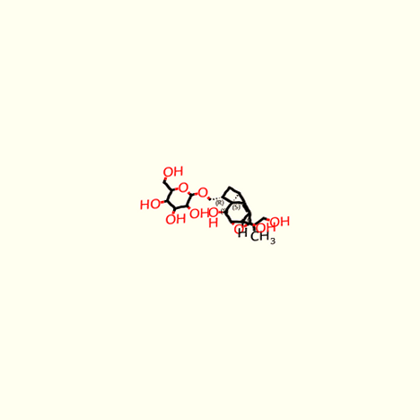 CC(CO)[C@H]1C2=C3C4C[C@@H](COC5OC(CO)C(O)C(O)C5O)[C@]34[C@H](O)C1OC2O